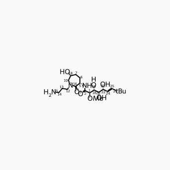 CO[C@@H](C(=O)N[C@H]1CC[C@H](O)CN(CCCN)C1=O)[C@H](O)[C@@H](O)[C@H](O)/C=C/C(C)(C)C